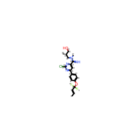 C/C=C/C(F)(F)Oc1ccc(-c2cc(C(=N)N(C)C[C@@H](C)CO)nc(Cl)n2)cc1